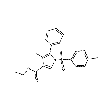 CCOC(=O)c1cn(S(=O)(=O)c2ccc(C)cc2)c(-c2ccccc2)c1C